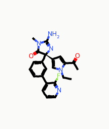 CCn1cc([C@]2(c3cccc(-c4cccnc4F)c3)N=C(N)N(C)C2=O)cc1C(C)=O